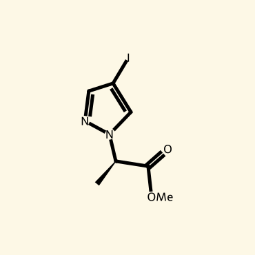 COC(=O)[C@@H](C)n1cc(I)cn1